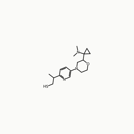 CC(CS)c1ccc(N2CCOC(C3(N(C)C)CC3)C2)cn1